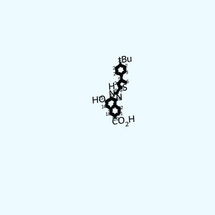 CC(C)(C)c1ccc(-c2csc(-c3nc4c([nH]3)c(O)cc3cc(C(=O)O)ccc34)c2)cc1